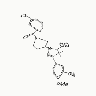 COc1ccc(C2=NN(C3CCN(C(=O)c4cccc(Cl)c4)CC3)C(C=O)C2(C)C)cc1OC